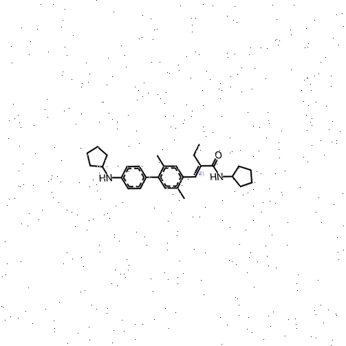 CC/C(=C\c1cc(C)c(-c2ccc(NC3CCCC3)cc2)cc1C)C(=O)NC1CCCC1